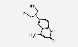 Cc1cc(=O)[nH]c2ccc(N(CC(C)C)CC(C)C)cc12